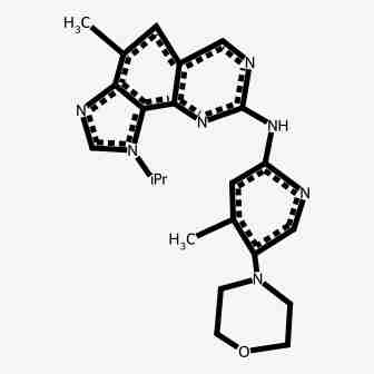 Cc1cc(Nc2ncc3cc(C)c4ncn(C(C)C)c4c3n2)ncc1N1CCOCC1